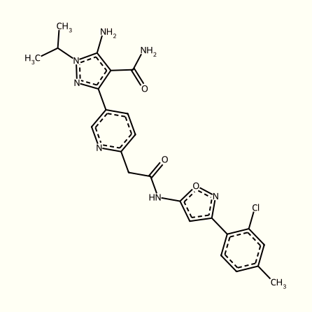 Cc1ccc(-c2cc(NC(=O)Cc3ccc(-c4nn(C(C)C)c(N)c4C(N)=O)cn3)on2)c(Cl)c1